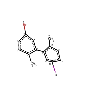 Cc1ccc(Br)cc1-c1cc(I)ccc1C